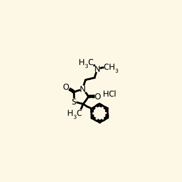 CN(C)CCN1C(=O)SC(C)(c2ccccc2)C1=O.Cl